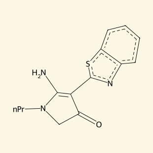 CCCN1CC(=O)C(c2nc3ccccc3s2)=C1N